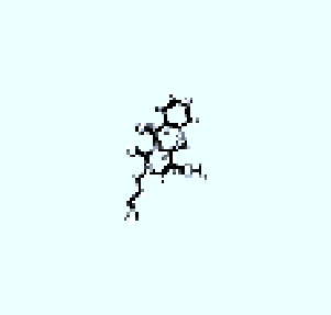 Cc1cn(CCC=O)c(=O)n(C(=O)c2ccccc2)c1=O